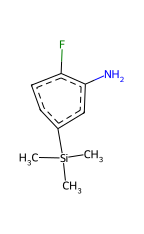 C[Si](C)(C)c1ccc(F)c(N)c1